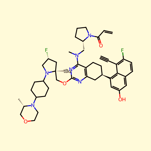 C#Cc1c(F)ccc2cc(O)cc([C@@H]3CCc4c(nc(OC[C@]5(C(C)(C)C)C[C@@H](F)CN5C5CCC(N6CCOC[C@@H]6C)CC5)nc4N(C)C[C@@H]4CCCN4C(=O)C=C)C3)c12